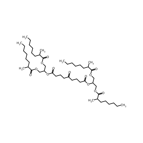 CCCCCCC(C)C(=O)OCC(COC(=O)C(C)CCCCCC)OC(=O)CCCC(=O)CCCC(=O)OC(COC(=O)C(C)CCCCCC)COC(=O)C(C)CCCCCC